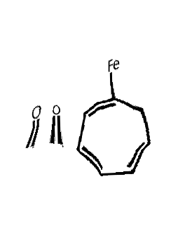 [C]=O.[C]=O.[Fe][C]1=CC=CC=CC1